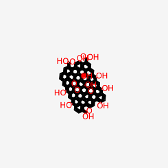 O=C(O)C1=CC2=Cc3c4c5c6c(c3O)=CC3=C(O)c7ccc(O)c8c7C79OC37C=6C3c6c9c7c-8ccc8c9c(C(=O)O)ccc%10c(O)c%11c%12c(c(c6C6C%13C%14C%15C%16C(=C(O)C(=C%11)C%15%11OC%126%11)C=c6ccc%11cc(C(=O)O)c%12c%15c%11c6=C%16C6%11OC%146C(=C5C3%13O)C3(O)C4C2c2c1c(O)cc-%12c2C3C%15%11)c78)c%109